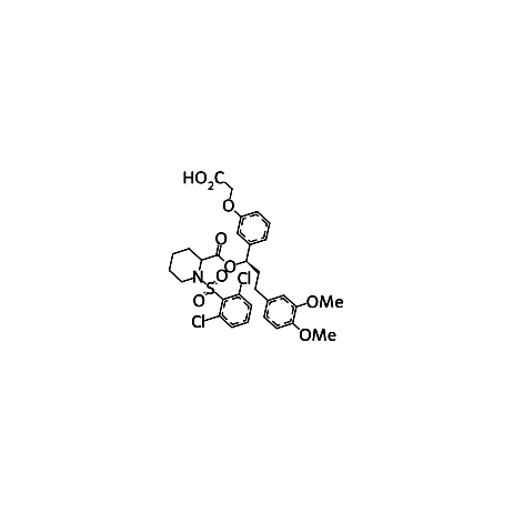 COc1ccc(CC[C@@H](OC(=O)C2CCCCN2S(=O)(=O)c2c(Cl)cccc2Cl)c2cccc(OCC(=O)O)c2)cc1OC